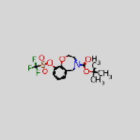 CC(C)(C)OC(=O)N1CCOc2c(cccc2OS(=O)(=O)C(F)(F)F)C1